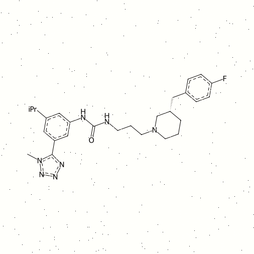 CC(C)c1cc(NC(=O)NCCCN2CCC[C@@H](Cc3ccc(F)cc3)C2)cc(-c2nnnn2C)c1